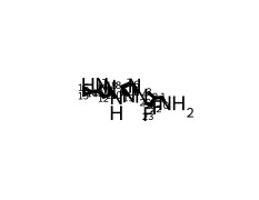 NCC1CN(c2nccc(Nc3cc(C4CC4)[nH]n3)n2)CC1(F)F